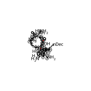 CCCCCCCCCCCCCCCC(=O)NCC(=O)N[C@@H](CO)C(=O)N[C@H](CCC(N)=O)C(=O)N[C@@H](CC(N)CN)C(=O)N[C@H](C(=O)N[C@@H](CCCC)C(=O)N[C@H]1CCC(=O)CNCCCC[C@@H](C(N)=O)NC(=O)[C@H](Cc2c[nH]c3ccccc23)NC(=O)[C@H](CCCNC(=N)N)NC(=O)[C@@H](Cc2ccccc2)NC(=O)[C@@H]2C[C@@H](O)CN2C1=O)C(C)O